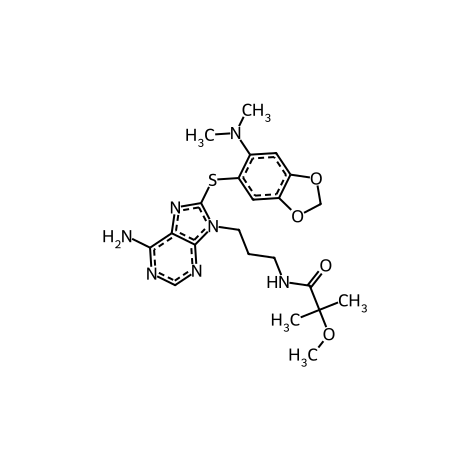 COC(C)(C)C(=O)NCCCn1c(Sc2cc3c(cc2N(C)C)OCO3)nc2c(N)ncnc21